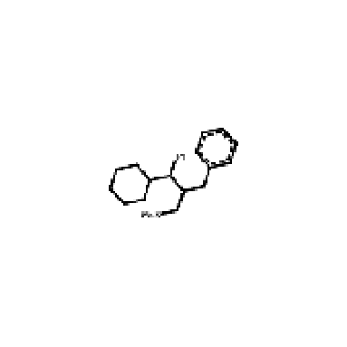 CSC[C](Cc1ccccc1)C(C(C)C)C1CCCCC1